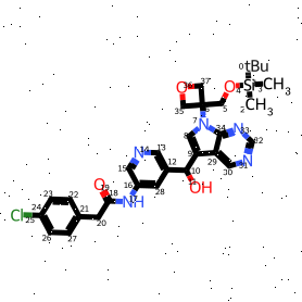 CC(C)(C)[Si](C)(C)OCC1(n2cc(C(O)c3cncc(NC(=O)Cc4ccc(Cl)cc4)c3)c3cncnc32)COC1